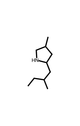 CCC(C)CC1CC(C)CN1